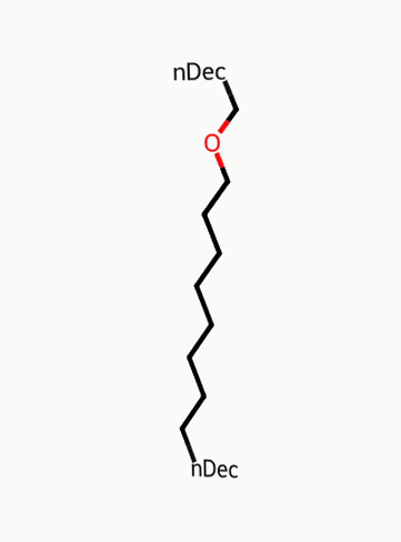 CCCCCCCCCCCCCCCCCCOCCCCCCCCCCC